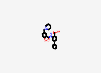 O=C(Nc1cc(-c2ccccc2)ccc1C(=O)O)c1cc(CN2CCCCC2)ccc1O